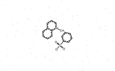 C[n+]1cccc2ccccc21.O=S(=O)([O-])c1ccccc1